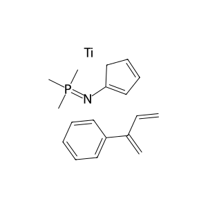 C=CC(=C)c1ccccc1.CP(C)(C)=NC1=CC=CC1.[Ti]